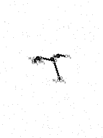 C=C(C)C(=O)OCCCCCCCCCCCOC(=O)c1cc(CCCCCCOOc2ccc(C(=C)C(=O)OC)cc2OC)ccc1OC(=O)c1ccc(CCCCC)cc1